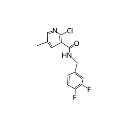 Cc1cnc(Cl)c(C(=O)NCc2ccc(F)c(F)c2)c1